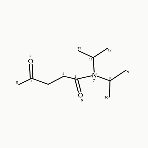 CC(=O)CCC(=O)N(C(C)C)C(C)C